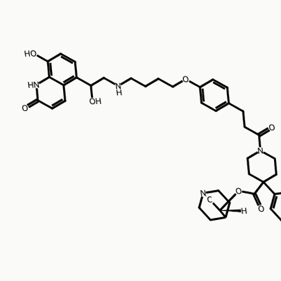 O=C(CCc1ccc(OCCCCNCC(O)c2ccc(O)c3[nH]c(=O)ccc23)cc1)N1CCC(C(=O)O[C@H]2CN3CCC2CC3)(c2ccccc2)CC1